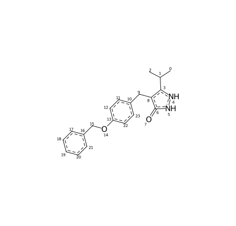 CC(C)c1[nH][nH]c(=O)c1Cc1ccc(OCc2ccccc2)cc1